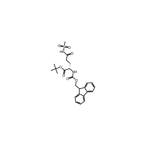 CC(C)(C)OC(=O)[C@H](CCC(=O)NS(C)(=O)=O)NC(=O)OCC1c2ccccc2-c2ccccc21